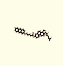 CC(C)CCC[C@@H](C)[C@H]1CCC2C3CC=C4CC(OC(=O)CCCCOc5ccc6cc7ccccc7cc6c5)CC[C@]4(C)C3CC[C@@]21C